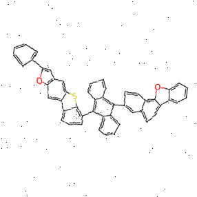 c1ccc(-c2cc3cc4sc5c(-c6c7ccccc7c(-c7ccc8c(ccc9c%10ccccc%10oc89)c7)c7ccccc67)cccc5c4cc3o2)cc1